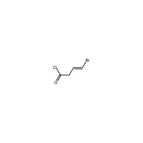 O=C(Cl)C/C=C/Br